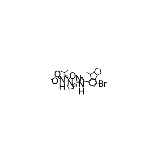 COC(=O)N[C@H](C(=O)N1CCC[C@H]1c1ncc(-c2ccc(Br)c3c2C(C)C2CCCC32)[nH]1)C(C)C